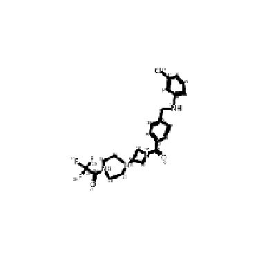 O=C(c1ccc(CNc2cccc(Cl)c2)cc1)N1CC(N2CCN(C(=O)C(F)(F)F)CC2)C1